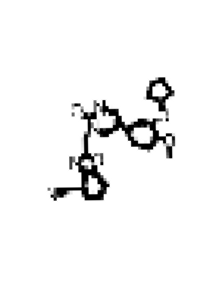 COc1ccc(-c2cnc(=O)n(Cc3nc4c(C#N)cccc4o3)c2)cc1OC1CCCC1